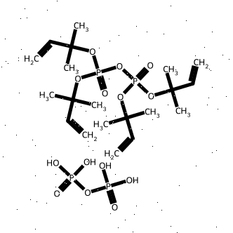 C=CC(C)(C)OP(=O)(OC(C)(C)C=C)OP(=O)(OC(C)(C)C=C)OC(C)(C)C=C.O=P(O)(O)OP(=O)(O)O